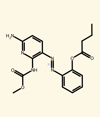 CCCC(=O)Oc1ccccc1/N=N/c1ccc(N)nc1NC(=O)OC